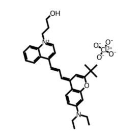 CCN(CC)c1ccc2c(c1)OC(C(C)(C)C)=CC2=CC=Cc1cc[n+](CCCO)c2ccccc12.[O-][Cl+3]([O-])([O-])[O-]